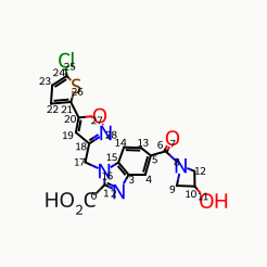 O=C(O)c1nc2cc(C(=O)N3CC(O)C3)ccc2n1Cc1cc(-c2ccc(Cl)s2)on1